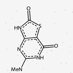 CNc1nc2[nH]c(=O)sc2c(=O)[nH]1